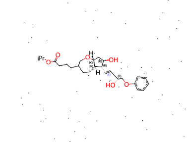 CC(C)OC(=O)CCCC1CC[C@@H]2[C@@H](/C=C/[C@@H](O)COc3ccccc3)[C@H](O)C[C@H]2OC1